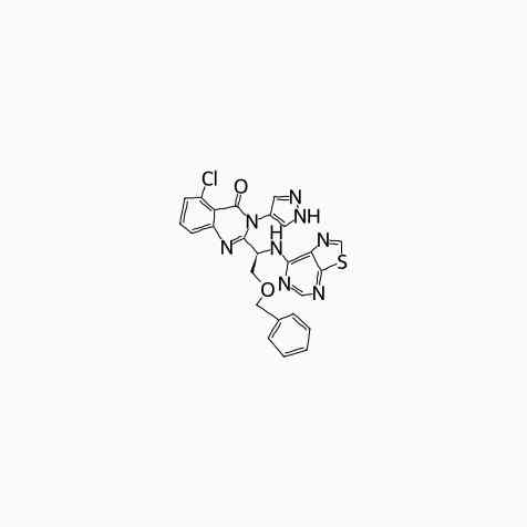 O=c1c2c(Cl)cccc2nc([C@H](COCc2ccccc2)Nc2ncnc3scnc23)n1-c1cn[nH]c1